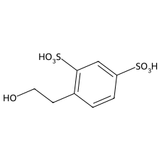 O=S(=O)(O)c1ccc(CCO)c(S(=O)(=O)O)c1